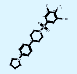 O=Cc1cc(S(=O)(=O)N2CCC(c3ccc(N4CCCC4)cc3)CC2)cc(F)c1O